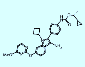 COc1ccnc(Oc2ccc3c(N)c(-c4ccc(NC(=O)O[C@H](C)C5CC5)cc4)n(C4CCC4)c3c2)n1